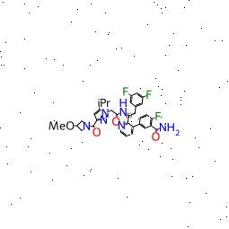 COC1CN(C(=O)c2cc(C(C)C)n(CC(=O)N[C@@H](Cc3cc(F)cc(F)c3)c3ncccc3-c3ccc(F)c(C(N)=O)c3)n2)C1